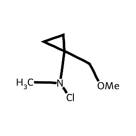 COCC1(N(C)Cl)CC1